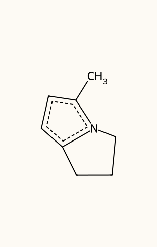 Cc1ccc2n1CCC2